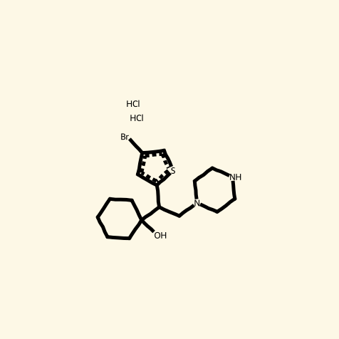 Cl.Cl.OC1(C(CN2CCNCC2)c2cc(Br)cs2)CCCCC1